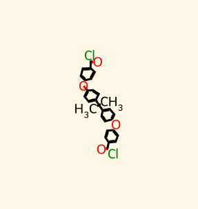 CC(C)(c1ccc(Oc2ccc(C(=O)Cl)cc2)cc1)c1ccc(Oc2ccc(C(=O)Cl)cc2)cc1